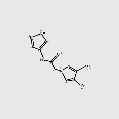 Cc1nn(CC(=O)Nc2cn[nH]c2)cc1C(C)C